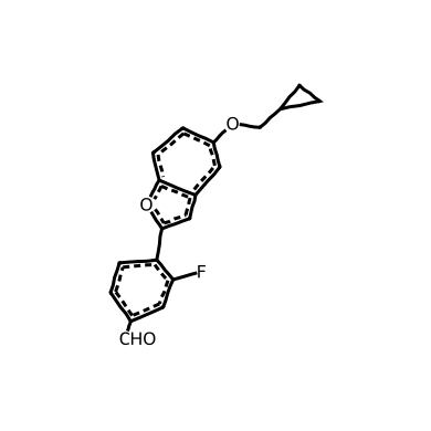 O=Cc1ccc(-c2cc3cc(OCC4CC4)ccc3o2)c(F)c1